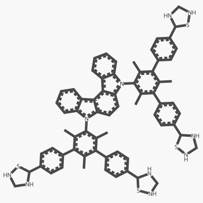 Cc1c(-c2ccc(C3NCNS3)cc2)c(C)c(-n2c3ccccc3c3c4c5ccccc5n(-c5c(C)c(-c6ccc(C7NCNS7)cc6)c(C)c(-c6ccc(C7NCNS7)cc6)c5C)c4ccc32)c(C)c1-c1ccc(C2NCNS2)cc1